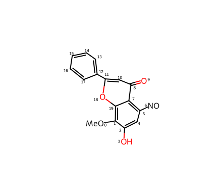 COc1c(O)cc(N=O)c2c(=O)cc(-c3ccccc3)oc12